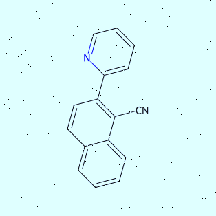 N#Cc1c(-c2ccccn2)ccc2ccccc12